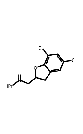 CC(C)NCC1Cc2cc(Cl)cc(Cl)c2O1